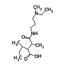 CCC(C)C(C(=O)O)C(C)C(=O)NCCCN(C)CC